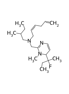 C=CC/C=C\CN(CC1=NC=CC(C(C)(F)CC)N1C)CC(C)CC